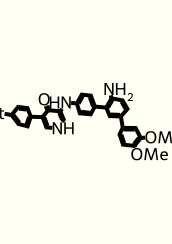 CCc1ccc(-c2c[nH]cc(Nc3ccc(-c4cc(-c5ccc(OC)c(OC)c5)ccc4N)cc3)c2=O)cc1